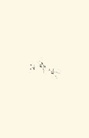 c1ccc(-n2c3ccccc3c3ccc(-c4nc(-c5ccc(-n6c7ccc8cccc9oc%10cccc%11ccc6c(c%11%10)c7c89)c6ccccc56)nc5c4sc4ccccc45)cc32)cc1